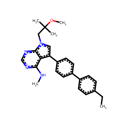 CCc1ccc(-c2ccc(-c3cn(CC(C)(C)OC)c4ncnc(NC)c34)cc2)cc1